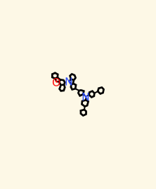 c1ccc(-c2ccc(N(c3ccc(-c4ccccc4)cc3)c3ccc(-c4ccc5c(c4)c4ccccc4n5-c4cc5c6ccccc6oc5c5ccccc45)cc3)cc2)cc1